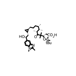 Cc1nc2cc([C@H](O)C[C@@H]3C[C@H]3CCC[C@H](C)[C@H](C)[C@@H](C)C(=O)C(C)(C)[C@H](CC(=O)O)O[Si](C)(C)C(C)(C)C)ccc2n1C